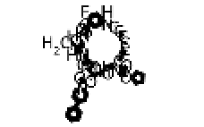 C=C[C@@H]1C[C@@]12NC(=O)[C@@H]1C[C@@H](OC(=O)N3CC=C(c4ccccc4)CC3)CN1C(=O)[C@@H](NC(=O)OC1CCCC1)CCCCCCCNc1ccc(F)cc1S(=O)(=O)NC2=O